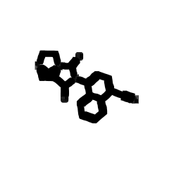 N#Cc1ccc(N2C(=O)C3CN4CC[N+]3(C4)C2=O)c2ccccc12